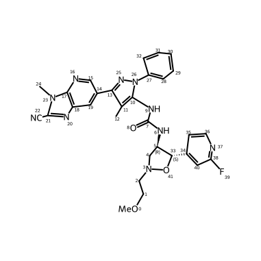 COCCN1C[C@@H](NC(=O)Nc2c(C)c(-c3cnc4c(c3)nc(C#N)n4C)nn2-c2ccccc2)[C@H](c2ccnc(F)c2)O1